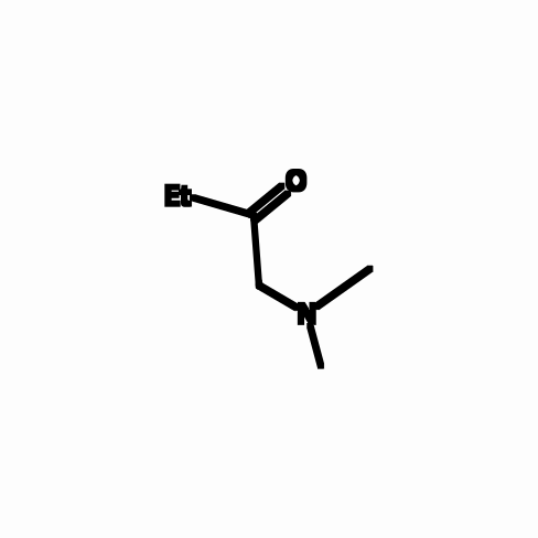 CCC(=O)CN(C)C